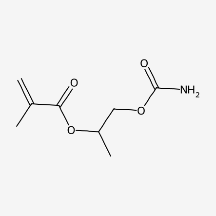 C=C(C)C(=O)OC(C)COC(N)=O